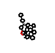 Cc1ccccc1-c1ccccc1C12CCCC34CC(CC5(CC(CC1)c1ccccc1-c1ccccc15)C23)c1ccccc1-c1ccc(N(c2ccc(-c3ccccc3)cc2)c2cccc(-c3ccccc3)c2)cc14